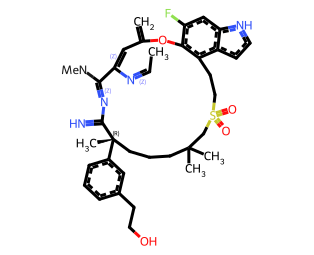 C=C1/C=C(\N=C/C)C(/NC)=N/C(=N)[C@@](C)(c2cccc(CCO)c2)CCCC(C)(C)CS(=O)(=O)CCc2c(c(F)cc3[nH]ccc23)O1